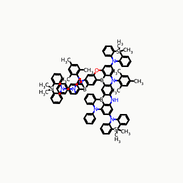 Cc1cc(C)c(N2c3cc4c(cc3B3c5cc6c(cc5Oc5cc(N7c8ccccc8[Si](C)(C)c8ccccc87)cc2c53)N(c2c(C)cc(C)cc2C)c2cc(N3c5ccccc5[Si](C)(C)c5ccccc53)cc3c2B6c2ccccc2N3c2ccccc2)B2c3ccccc3N(c3ccccc3)c3cc(N5c6ccccc6[Si](C)(C)c6ccccc65)cc(c32)N4)c(C)c1